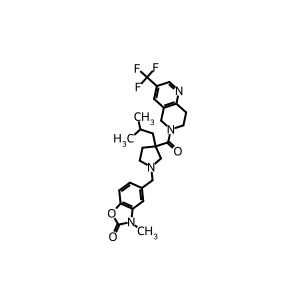 CC(C)CC1(C(=O)N2CCc3ncc(C(F)(F)F)cc3C2)CCN(Cc2ccc3oc(=O)n(C)c3c2)C1